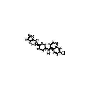 Clc1ccc2c(NC3CCC(NCc4ccco4)CC3)ccnc2c1